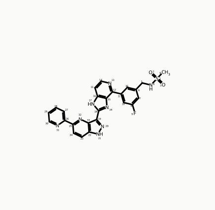 CS(=O)(=O)NCc1cc(F)cc(-c2nccc3[nH]c(-c4n[nH]c5ccc(-c6ccccn6)nc45)nc23)c1